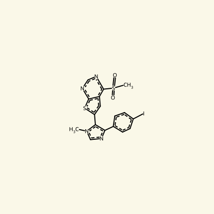 Cn1cnc(-c2ccc(I)cc2)c1-c1cc2c(S(C)(=O)=O)ncnc2s1